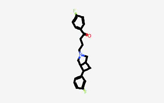 O=C(CCCN1CC2CC(c3cccc(F)c3)C2C1)c1ccc(F)cc1